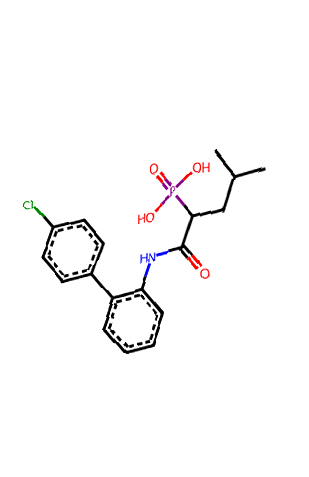 CC(C)CC(C(=O)Nc1ccccc1-c1ccc(Cl)cc1)P(=O)(O)O